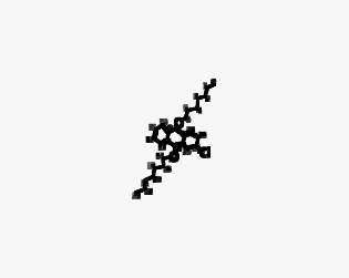 CCCCCCCOc1c2ccccc2c(OCCCCCCC)c2cc(Cl)ccc12